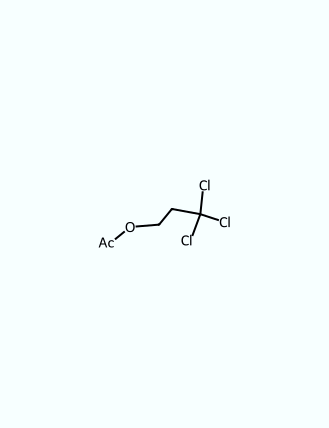 CC(=O)OCCC(Cl)(Cl)Cl